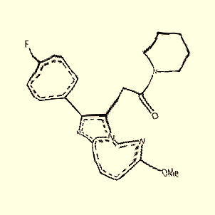 COc1ccc2nc(-c3ccc(F)cc3)c(CC(=O)N3CCCCC3)n2n1